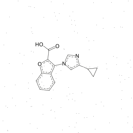 O=C(O)c1oc2ccccc2c1-n1cnc(C2CC2)c1